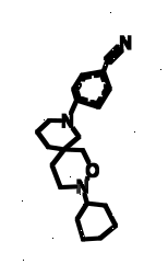 N#Cc1ccc(N2CCCC3(CCN(C4CCCCC4)OC3)C2)cc1